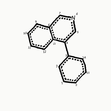 c1ccc(-c2cncc3ccccc23)cc1